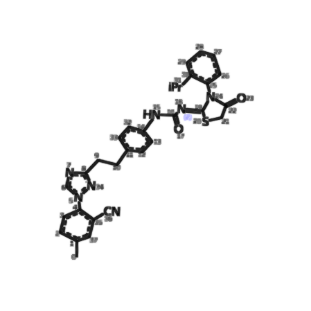 Cc1ccc(-n2cnc(CCc3ccc(NC(=O)/N=C4\SCC(=O)N4c4ccccc4C(C)C)cc3)n2)c(C#N)c1